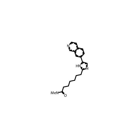 CNC(=O)CCCCCCc1ncc(-c2ccc3ccncc3c2)[nH]1